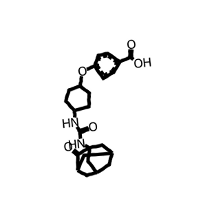 O=C(NC1CCC(Oc2ccc(C(=O)O)cc2)CC1)NC12CC3CC(CC(C3)C1=O)C2